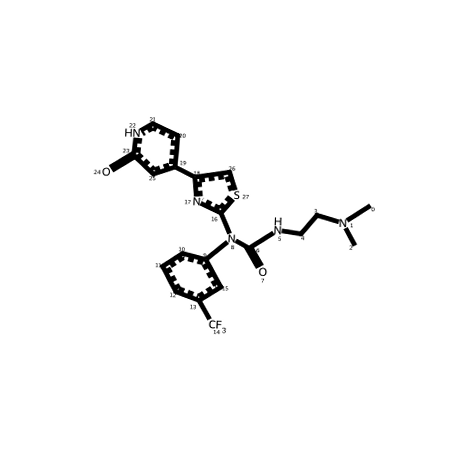 CN(C)CCNC(=O)N(c1cccc(C(F)(F)F)c1)c1nc(-c2cc[nH]c(=O)c2)cs1